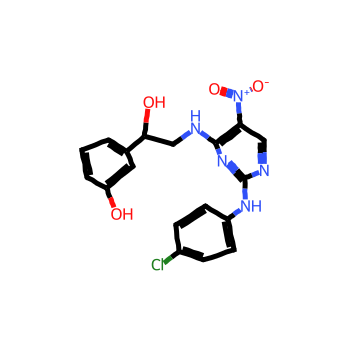 O=[N+]([O-])c1cnc(Nc2ccc(Cl)cc2)nc1NCC(O)c1cccc(O)c1